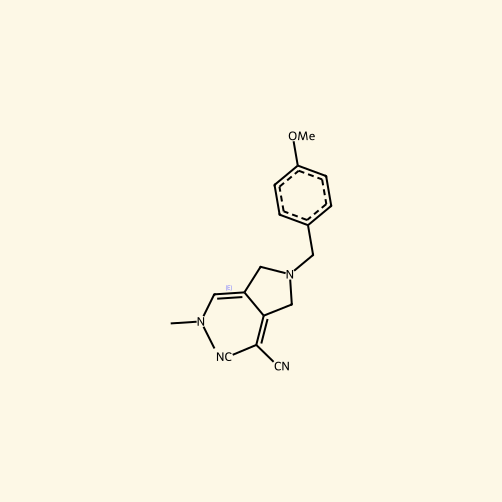 COc1ccc(CN2CC(=C(C#N)C#N)/C(=C\N(C)C)C2)cc1